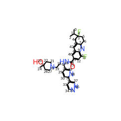 CC(C)C1(F)CCc2nc3c(F)cc(C(=O)N[C@@H](CCN4CCC(C)(O)CC4)c4ccc(-c5ccnnc5)nc4)cc3cc2C1